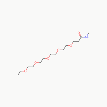 CCOCCOCCOCCOCCOCCC(=O)NC